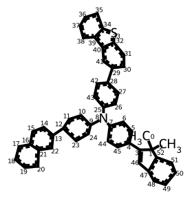 CC1(C)C(c2ccc(N(c3ccc(-c4ccc5ccccc5c4)cc3)c3ccc(-c4ccc5sc6ccccc6c5c4)cc3)cc2)=Cc2ccccc21